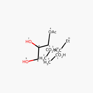 CC(=O)O.CC(=O)O.CC(=O)OCC(O)CO.CCC